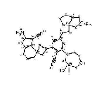 C[C@]1(O)COCCN(c2nc(OC[C@@]34CCCN3C[C@H](F)C4)nc(N3CC4(CCCc5sc(N)c(C#N)c54)C3)c2C#N)C1